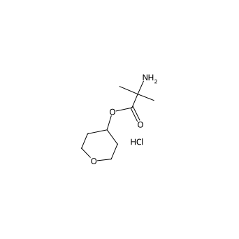 CC(C)(N)C(=O)OC1CCOCC1.Cl